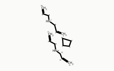 C1CCC1.C=CCNCC=C.C=CCNCC=C